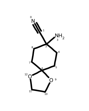 N#CC1(N)CCC2(CC1)OCCO2